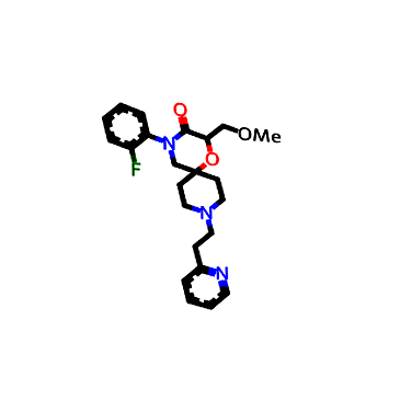 COCC1OC2(CCN(CCc3ccccn3)CC2)CN(c2ccccc2F)C1=O